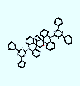 c1ccc(-c2nc(-c3ccccc3)nc(N3c4ccccc4C4(c5ccccc53)c3ccccc3C3(c5ccccc5N(c5nc(-c6ccccc6)nc(-c6ccccc6)n5)c5ccccc53)c3ccccc34)n2)cc1